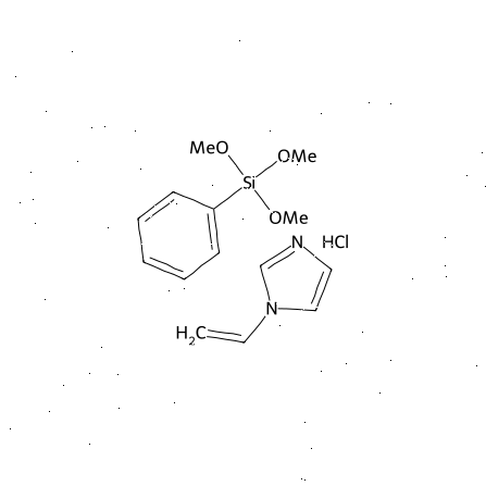 C=Cn1ccnc1.CO[Si](OC)(OC)c1ccccc1.Cl